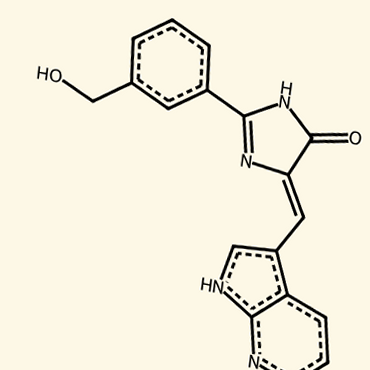 O=C1NC(c2cccc(CO)c2)=NC1=Cc1c[nH]c2ncccc12